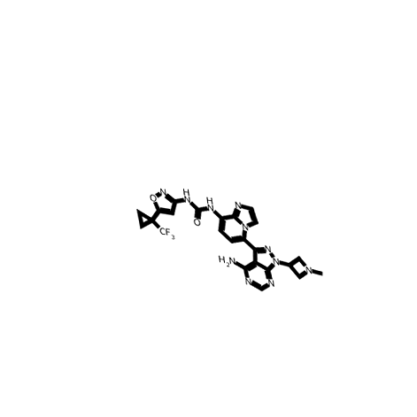 CN1CC(n2nc(-c3ccc(NC(=O)Nc4cc(C5(C(F)(F)F)CC5)on4)c4nccn34)c3c(N)ncnc32)C1